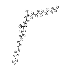 CCCCCCCCCCCCCCCC(=O)OCCCC(C)CCCCCCCCCCCC